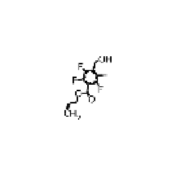 C=CCOC(=O)c1c(F)c(F)c(CO)c(F)c1F